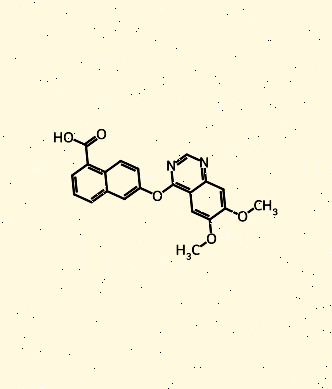 COc1cc2ncnc(Oc3ccc4c(C(=O)O)cccc4c3)c2cc1OC